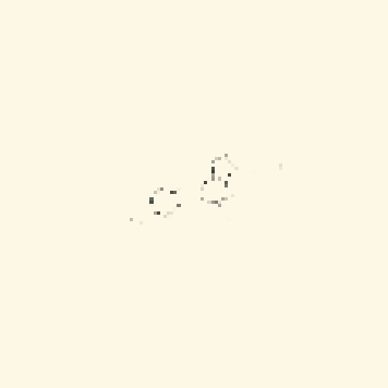 N#Cc1nc(Cc2ccc(CCBr)cc2)c2ccn(C3CCCCC3)c2n1